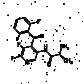 C[C@H](N)C(=O)Nc1cnc(F)c(F)c1C(=O)c1c(F)cccc1F